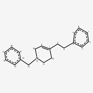 C1=C(CCc2ccccc2)CCN(Cc2ccccc2)C1